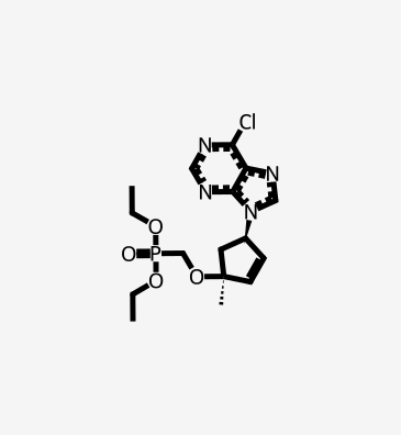 CCOP(=O)(CO[C@]1(C)C=C[C@H](n2cnc3c(Cl)ncnc32)C1)OCC